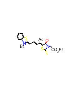 CCOC(=O)CN1C(=O)/C(=C(/C=C/C=C2\Sc3ccccc3N2CC)C(C)=O)SC1=S